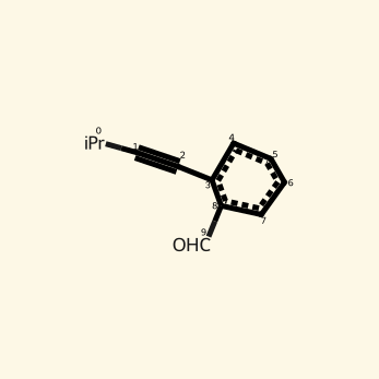 CC(C)C#Cc1ccccc1C=O